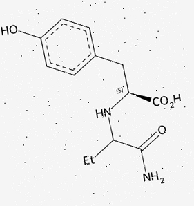 CCC(N[C@@H](Cc1ccc(O)cc1)C(=O)O)C(N)=O